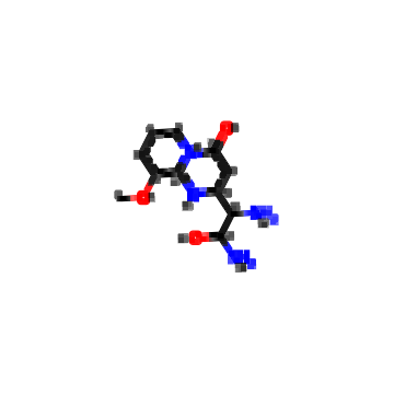 COc1cccn2c(=O)cc(C(N)C(N)=O)nc12